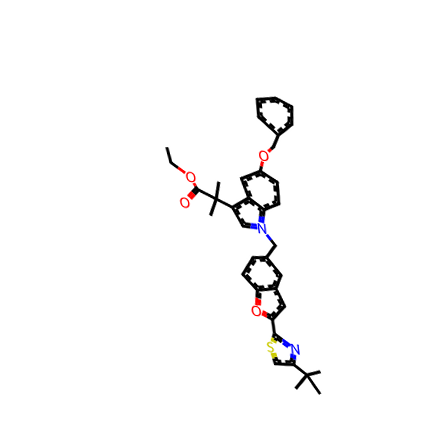 CCOC(=O)C(C)(C)c1cn(Cc2ccc3oc(-c4nc(C(C)(C)C)cs4)cc3c2)c2ccc(OCc3ccccc3)cc12